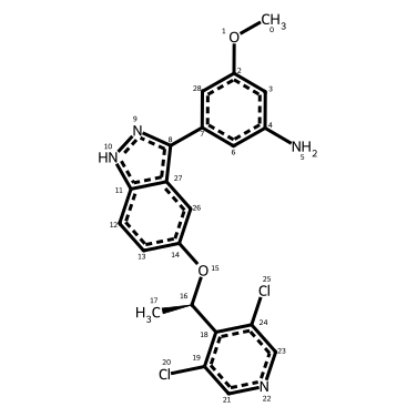 COc1cc(N)cc(-c2n[nH]c3ccc(O[C@H](C)c4c(Cl)cncc4Cl)cc23)c1